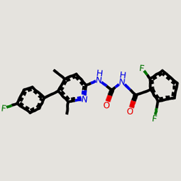 Cc1cc(NC(=O)NC(=O)c2c(F)cccc2F)nc(C)c1-c1ccc(F)cc1